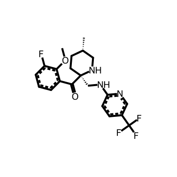 COc1c(F)cccc1C(=O)[C@@]1(CNc2ccc(C(F)(F)F)cn2)CC[C@H](C)CN1